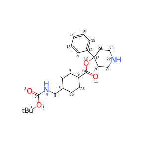 CC(C)(C)OC(=O)NCC1CCC(C(=O)OC2(c3ccccc3)CCNCC2)CC1